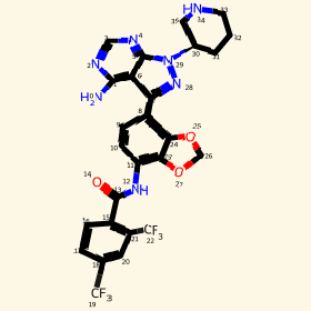 Nc1ncnc2c1c(-c1ccc(NC(=O)c3ccc(C(F)(F)F)cc3C(F)(F)F)c3c1OCO3)nn2[C@@H]1CCCNC1